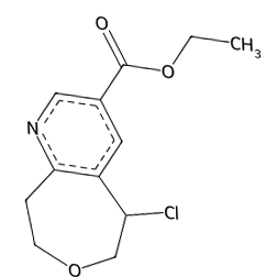 CCOC(=O)c1cnc2c(c1)C(Cl)COCC2